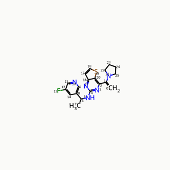 C=C(c1nc(NC(C)c2cncc(F)c2)nc2ccsc12)N1CCCC1